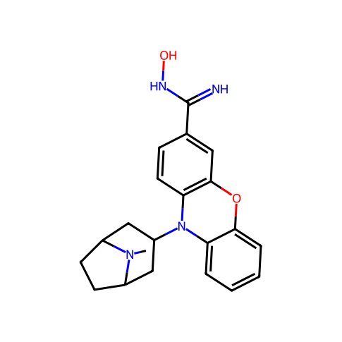 CN1C2CCC1CC(N1c3ccccc3Oc3cc(C(=N)NO)ccc31)C2